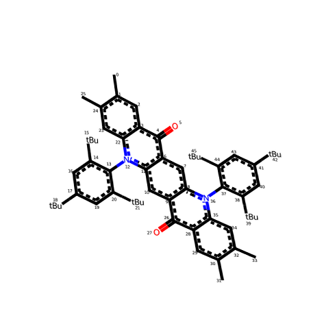 Cc1cc2c(=O)c3cc4c(cc3n(-c3c(C(C)(C)C)cc(C(C)(C)C)cc3C(C)(C)C)c2cc1C)c(=O)c1cc(C)c(C)cc1n4-c1c(C(C)(C)C)cc(C(C)(C)C)cc1C(C)(C)C